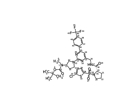 CN(C(=O)OC(C)(C)C)C1CCN(c2nc(CNC(=O)[C@@H]3CCCN3S(=O)(=O)c3ccc(Cl)s3)cc(-c3ccc(C(F)(F)F)cc3)n2)C1